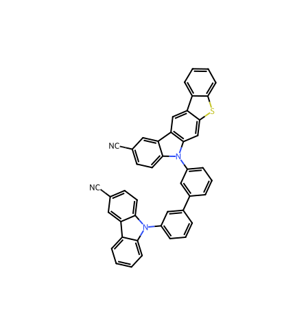 N#Cc1ccc2c(c1)c1ccccc1n2-c1cccc(-c2cccc(-n3c4ccc(C#N)cc4c4cc5c(cc43)sc3ccccc35)c2)c1